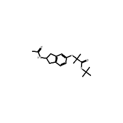 CC(=O)NC1Cc2ccc(SC(C)(C)C(=O)OC(C)(C)C)cc2C1